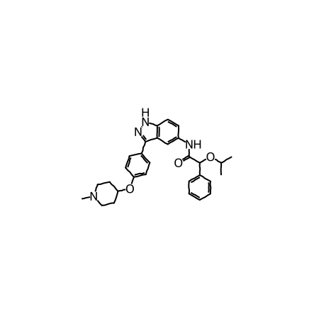 CC(C)OC(C(=O)Nc1ccc2[nH]nc(-c3ccc(OC4CCN(C)CC4)cc3)c2c1)c1ccccc1